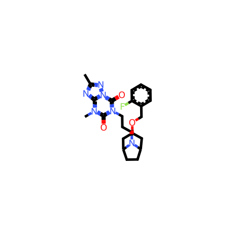 Cc1nc2n(C)c(=O)n(CCCN3C4CCC3CC(OCc3ccccc3F)C4)c(=O)n2n1